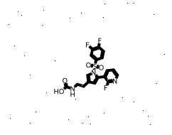 O=C(O)NCCc1cc(-c2cccnc2F)n(S(=O)(=O)c2ccc(F)c(F)c2)c1